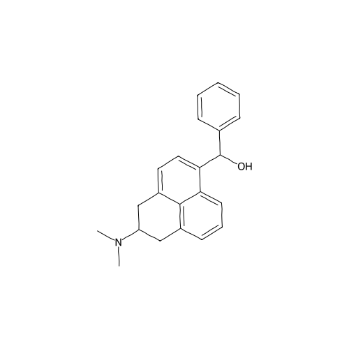 CN(C)C1Cc2cccc3c(C(O)c4ccccc4)ccc(c23)C1